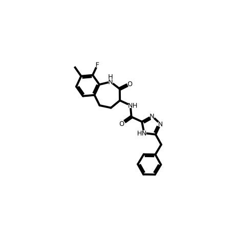 Cc1ccc2c(c1F)NC(=O)C(NC(=O)c1nnc(Cc3ccccc3)[nH]1)CC2